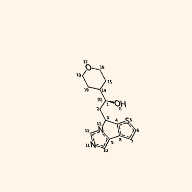 O[C@@H](CC1c2sccc2-c2cncn21)C1CCOCC1